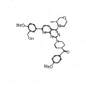 COc1ccc(C(=O)C2CCN(c3nc(N4CCOC[C@@H]4C)c4ccc(-c5ccc(OC)c(CO)c5)nc4n3)CC2)cc1